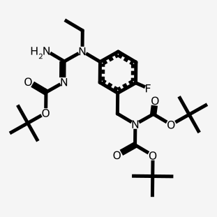 CCN(C(N)=NC(=O)OC(C)(C)C)c1ccc(F)c(CN(C(=O)OC(C)(C)C)C(=O)OC(C)(C)C)c1